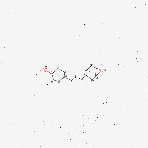 OC1CCC(CCCC2CCC3OC3C2)CC1